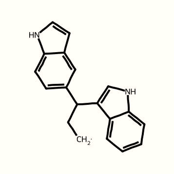 [CH2]CC(c1ccc2[nH]ccc2c1)c1c[nH]c2ccccc12